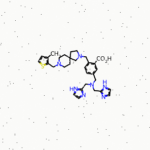 Cc1ccsc1CN1CCC2(CC1)CCN(Cc1ccc(CN(Cc3ncc[nH]3)Cc3ncc[nH]3)cc1C(=O)O)C2